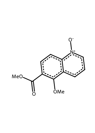 COC(=O)c1ccc2c(ccc[n+]2[O-])c1OC